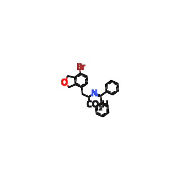 O=C(O)C(Cc1ccc(Br)c2c1COC2)N=C(c1ccccc1)c1ccccc1